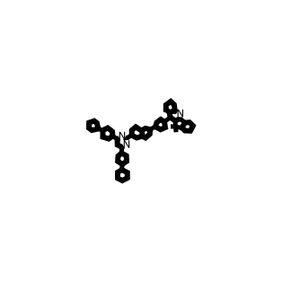 CC1(C)c2ccccc2-c2nc3ccccc3c(-c3ccc(-c4ccc5cc(-c6nc(-c7ccc(-c8ccccc8)cc7)cc(-c7ccc(-c8ccccc8)cc7)n6)ccc5c4)cc3)c21